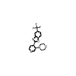 FC(F)(F)c1ccc2oc(-c3ccncc3N3CCOCC3)nc2c1